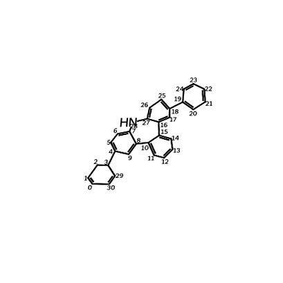 C1=CCC(c2ccc3c(c2)-c2ccccc2-c2cc(-c4ccccc4)ccc2N3)C=C1